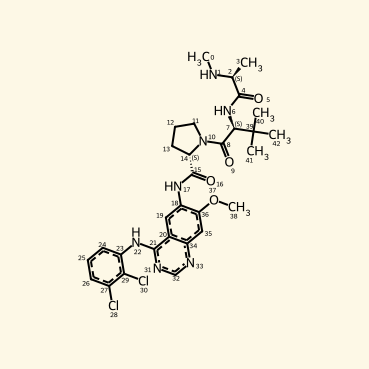 CN[C@@H](C)C(=O)N[C@H](C(=O)N1CCC[C@H]1C(=O)Nc1cc2c(Nc3cccc(Cl)c3Cl)ncnc2cc1OC)C(C)(C)C